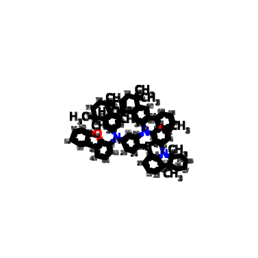 Cc1cc2c3c(c1)N1c4c(cccc4C4(C)CCCCC14C)B3c1ccc(N(c3ccc4c(c3)C(C)(C)CCC4(C)C)c3cccc4c3oc3ccccc34)cc1N2c1cc2c(cc1-c1ccccc1)C(C)(C)CCC2(C)C